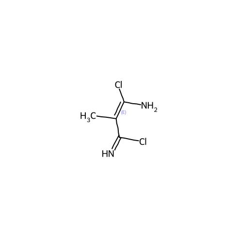 C/C(C(=N)Cl)=C(/N)Cl